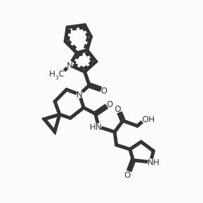 Cn1c(C(=O)N2CCC3(CC3)CC2C(=O)NC(CC2CCNC2=O)C(=O)CO)cc2ccccc21